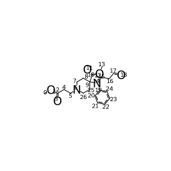 COC(=O)CCN1CCC(C(=O)OC)(N(CCC=O)c2ccccc2)CC1